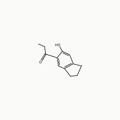 CCC(=O)c1cc2c(cc1O)CCC2